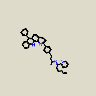 C=CC/C=C\C(=N/C(C)CCc1ccc(-c2ccc3ccc4c(-c5ccccc5)c5ccccc5nc4c3n2)cc1)c1ccccn1